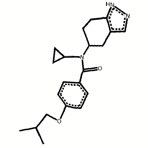 CC(C)COc1ccc(C(=O)N(C2CC2)C2CCc3[nH]ncc3C2)cc1